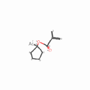 C=C(C)C(=O)OC1(C(C)=O)CCCC1